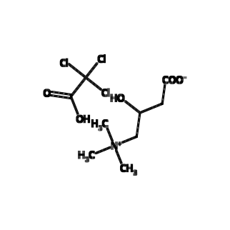 C[N+](C)(C)CC(O)CC(=O)[O-].O=C(O)C(Cl)(Cl)Cl